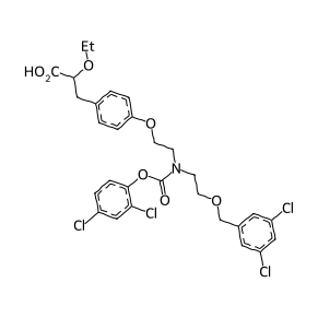 CCOC(Cc1ccc(OCCN(CCOCc2cc(Cl)cc(Cl)c2)C(=O)Oc2ccc(Cl)cc2Cl)cc1)C(=O)O